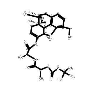 C[C@H](NC(=O)[C@H](C)OC(=O)OC(C)(C)C)C(=O)OC1=CC[C@@]2(O)[C@H]3Cc4ccc(CO)c5c4[C@@]2(CCN3C)[C@H]1O5